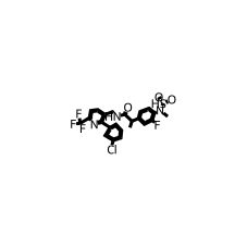 CC(C(=O)NCc1ccc(C(F)(F)F)nc1-c1cccc(Cl)c1)c1ccc(N(C)[SH](=O)=O)c(F)c1